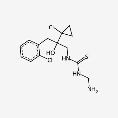 NCNC(=S)NCC(O)(Cc1ccccc1Cl)C1(Cl)CC1